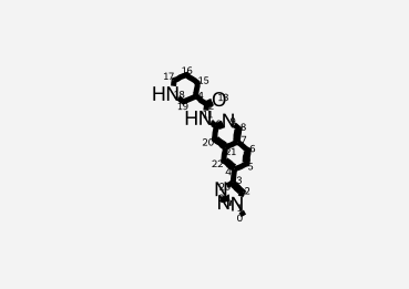 Cn1cc(-c2ccc3cnc(NC(=O)C4CCCNC4)cc3c2)nn1